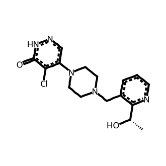 C[C@H](O)c1ncccc1CN1CCN(c2cn[nH]c(=O)c2Cl)CC1